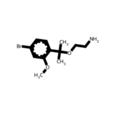 COc1cc(Br)ccc1C(C)(C)OCCN